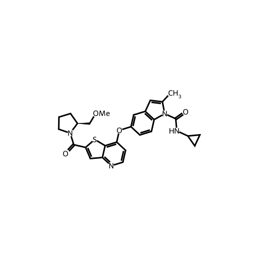 COC[C@@H]1CCCN1C(=O)c1cc2nccc(Oc3ccc4c(c3)cc(C)n4C(=O)NC3CC3)c2s1